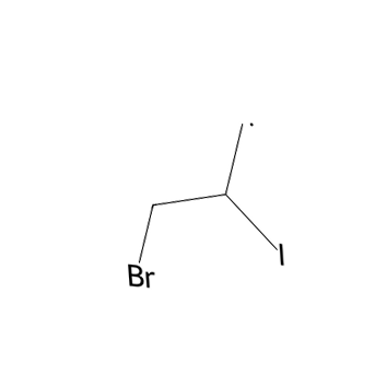 [CH2]C(I)CBr